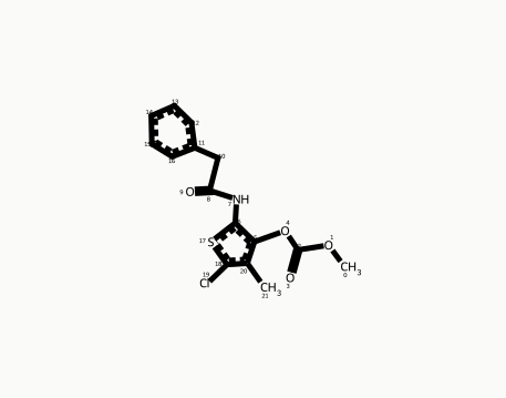 COC(=O)Oc1c(NC(=O)Cc2ccccc2)sc(Cl)c1C